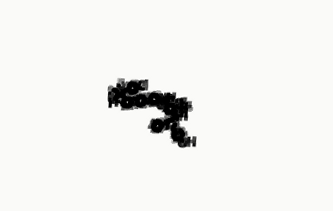 Cc1c(C(F)(F)F)c(-c2cccc(N3CCN(c4ccc(NS(=O)(=O)c5ccc(N[C@H](CCN6CCC(O)CC6)CSc6ccccc6)c(S(=O)(=O)C(F)(F)F)c5)cc4)CC3)c2)c(-c2ccc(Cl)cc2)n1C